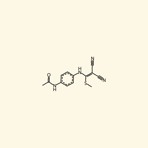 CSC(Nc1ccc(NC(C)=O)cc1)=C(C#N)C#N